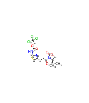 CC(C)C1COC(=O)N1C(=O)CCc1csc(NC(=O)OCC(Cl)(Cl)Cl)n1